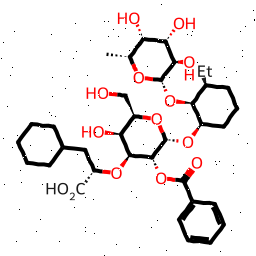 CC[C@H]1CCC[C@@H](O[C@H]2O[C@H](CO)[C@H](O)[C@H](O[C@@H](CC3CCCCC3)C(=O)O)[C@H]2OC(=O)c2ccccc2)[C@H]1O[C@@H]1O[C@H](C)[C@H](O)[C@H](O)[C@H]1O